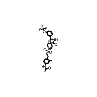 CC(=O)N(C)c1ccc(CCS(=O)(=O)N2CCC3(CC2)N=C(c2cccc(OC(F)(F)F)c2)NC3=O)c(C)c1